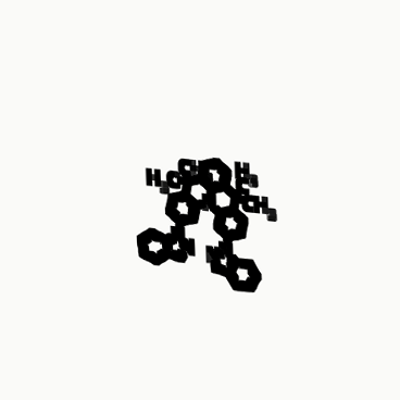 CC1(C)c2ccc(-n3ncc4ccccc43)cc2N2c3cc(-n4ncc5ccccc54)ccc3C(C)(C)c3cccc1c32